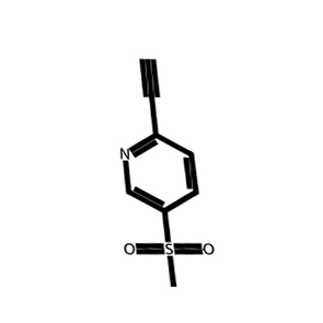 C#Cc1ccc(S(C)(=O)=O)cn1